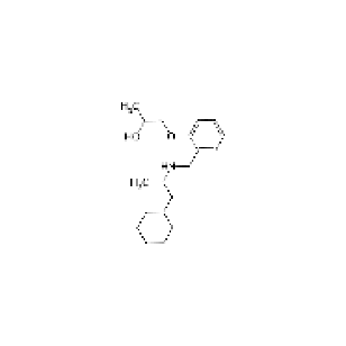 CC(O)COc1ccccc1CNC(C)CC1CCCCC1